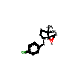 CC1(C)CC[C@@H](Cc2ccc(Cl)cc2)[C@]12CO2